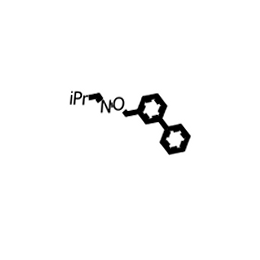 CC(C)C=NOCc1cccc(-c2ccccc2)c1